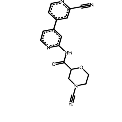 N#Cc1cc(-c2ccnc(NC(=O)C3CN(C#N)CCO3)c2)ccn1